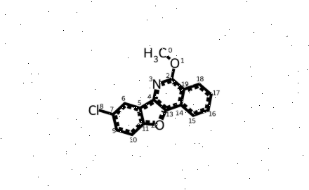 COc1nc2c3cc(Cl)ccc3oc2c2ccccc12